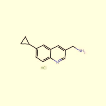 Cl.NCc1cnc2ccc(C3CC3)cc2c1